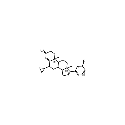 C[C@]12CCC(=O)C=C1C(C1CC1)CC1C2CC[C@]2(C)C(c3cncc(F)c3)=CCC12